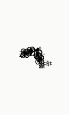 C=CC.O=P([O-])([O-])[O-].O=P([O-])([O-])[O-].O=P([O-])([O-])[O-].O=P([O-])([O-])[O-].[Zr+4].[Zr+4].[Zr+4]